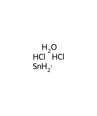 Cl.Cl.O.[SnH2]